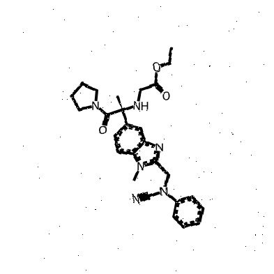 CCOC(=O)CN[C@@](C)(C(=O)N1CCCC1)c1ccc2c(c1)nc(CN(C#N)c1ccccc1)n2C